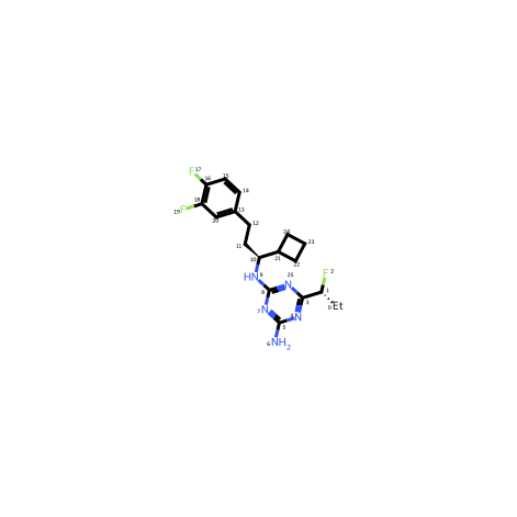 CC[C@@H](F)c1nc(N)nc(N[C@@H](CCc2ccc(F)c(F)c2)C2CCC2)n1